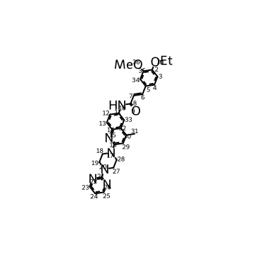 CCOc1ccc(/C=C/C(=O)Nc2ccc3nc(N4CCN(c5ncccn5)CC4)cc(C)c3c2)cc1OC